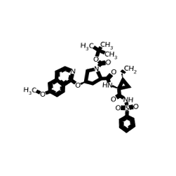 C=C[C@@H]1C[C@]1(NC(=O)C1C[C@@H](Oc2nccc3cc(OC)ccc23)CN1C(=O)OC(C)(C)C)C(=O)NS(=O)(=O)c1ccccc1